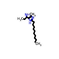 CCCCCCCCCCCc1nc(C)c(C(N)CC)[nH]1